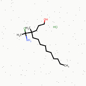 CCCCCCCCCCC(C)(CCCO)C(C)(N)Cl.Cl